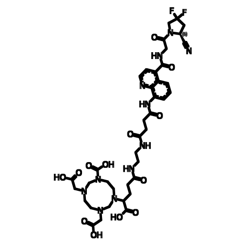 N#C[C@@H]1CC(F)(F)CN1C(=O)CNC(=O)c1ccnc2c(NC(=O)CCC(=O)NCCNC(=O)CCC(C(=O)O)N3CCN(C(=O)O)CN(CC(=O)O)CCN(CC(=O)O)C3)cccc12